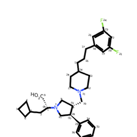 O=C(O)[C@@H](CC1CCC1)N1C[C@H](CN2CCC(CCCc3cc(F)cc(F)c3)CC2)[C@@H](c2ccccc2)C1